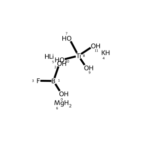 OB(O)F.[KH].[LiH].[MgH2].[OH][Ti]([OH])([OH])[OH]